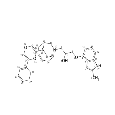 Cc1cc2c(OCC(O)CN3CC4CC=CCC3CN4C3=COC=C(C4=CC=CCC4)O3)cccc2[nH]1